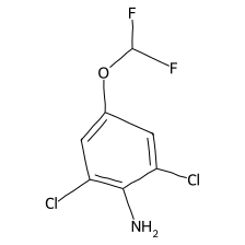 Nc1c(Cl)cc(OC(F)F)cc1Cl